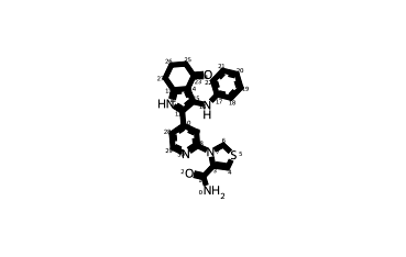 NC(=O)C1=CSCN1c1cc(-c2[nH]c3c(c2Nc2ccccc2)C(=O)CCC3)ccn1